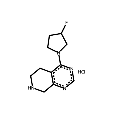 Cl.FC1CCN(c2ncnc3c2CCNC3)C1